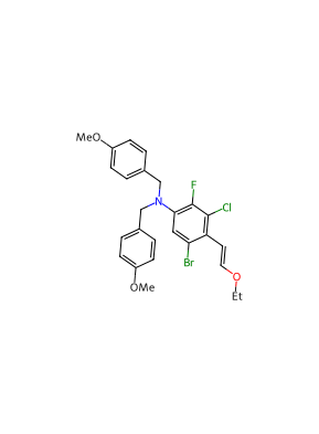 CCOC=Cc1c(Br)cc(N(Cc2ccc(OC)cc2)Cc2ccc(OC)cc2)c(F)c1Cl